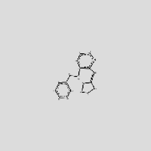 C(=C1CCCC1)c1ncccc1OCc1ccccc1